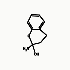 NC1(O)CCc2ccccc2O1